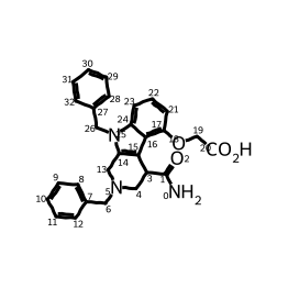 NC(=O)C1CN(Cc2ccccc2)Cc2c1c1c(OCC(=O)O)cccc1n2Cc1ccccc1